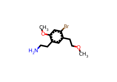 COCCc1cc(CCN)c(OC)cc1Br